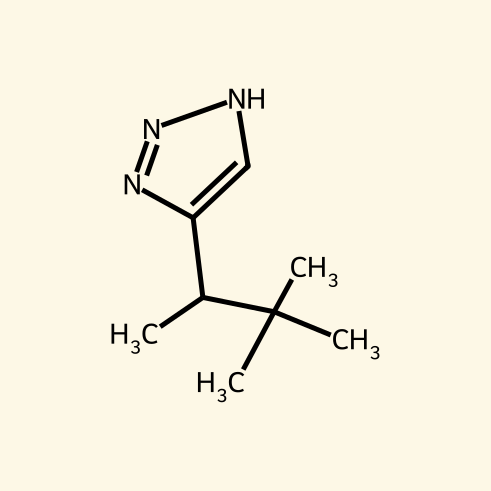 CC(c1c[nH]nn1)C(C)(C)C